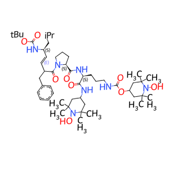 CC(C)C[C@@H](/C=C/C(Cc1ccccc1)C(=O)N1CCC[C@H]1C(=O)N[C@@H](CCCNC(=O)OC1CC(C)(C)N(O)C(C)(C)C1)C(=O)NC1CC(C)(C)N(O)C(C)(C)C1)NC(=O)OC(C)(C)C